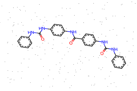 O=C(Nc1ccccc1)Nc1ccc(NC(=O)c2ccc(NC(=O)Nc3ccccc3)cc2)cc1